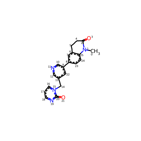 CN1C(=O)CCc2cc(-c3cncc(Cn4cccnc4=O)c3)ccc21